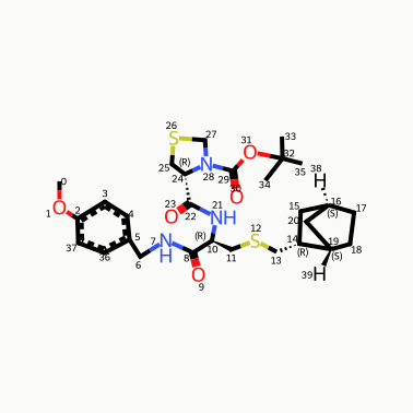 COc1ccc(CNC(=O)[C@H](CSC[C@@H]2C[C@H]3CC[C@H]2C3)NC(=O)[C@@H]2CSCN2C(=O)OC(C)(C)C)cc1